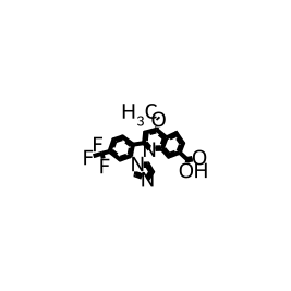 COc1cc(-c2ccc(C(F)(F)F)cc2-n2ccnc2)nc2cc(C(=O)O)ccc12